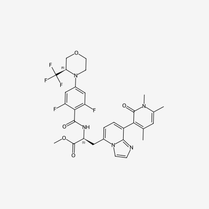 COC(=O)[C@H](Cc1ccc(-c2c(C)cc(C)n(C)c2=O)c2nccn12)NC(=O)c1c(F)cc(N2CCOC[C@@H]2C(F)(F)F)cc1F